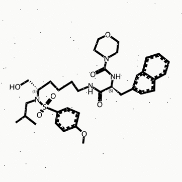 COc1ccc(S(=O)(=O)N(CC(C)C)[C@H](CO)CCCCNC(=O)[C@H](Cc2ccc3ccccc3c2)NC(=O)N2CCOCC2)cc1